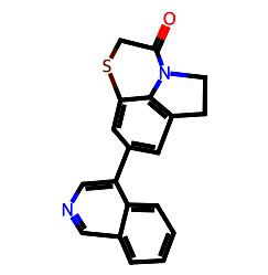 O=C1CSc2cc(-c3cncc4ccccc34)cc3c2N1CC3